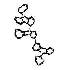 c1ccc(-n2c3ccccc3c3c(-n4c5ccccc5c5cc(-c6ccc7c(c6)c6ccccc6n7-c6ncncn6)ccc54)cccc32)cc1